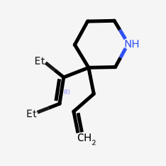 C=CCC1(/C(=C/CC)CC)CCCNC1